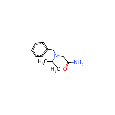 CC(C)N(CC(N)=O)Cc1ccccc1